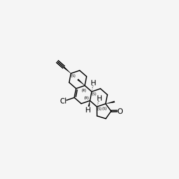 C#C[C@H]1CC[C@@]2(C)C(=C(Cl)C[C@@H]3[C@@H]2CC[C@]2(C)C(=O)CC[C@@H]32)C1